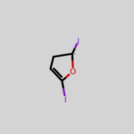 I[C]1CC=C(I)O1